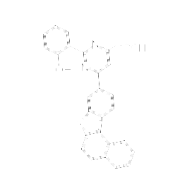 COc1cc(-c2ccc3c(c2)sc2ccc4ccccc4c23)nc(-c2ccccc2O)n1